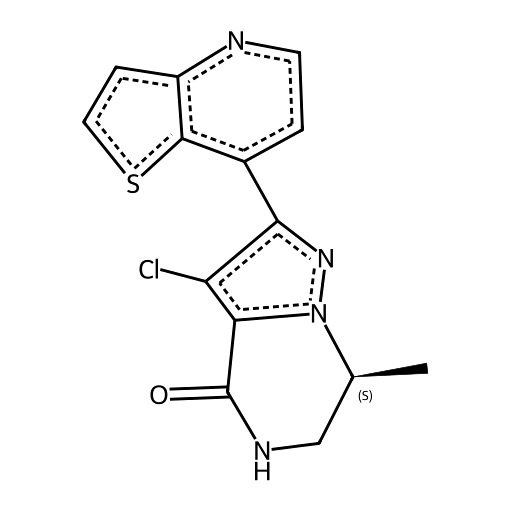 C[C@H]1CNC(=O)c2c(Cl)c(-c3ccnc4ccsc34)nn21